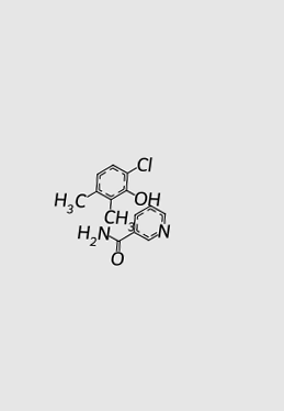 Cc1ccc(Cl)c(O)c1C.NC(=O)c1cccnc1